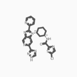 O=C(N[C@H]1CCC[C@@H](n2c(-c3ccccn3)nc3cnc(-c4nc[nH]n4)cc32)C1)c1ncc(Cl)s1